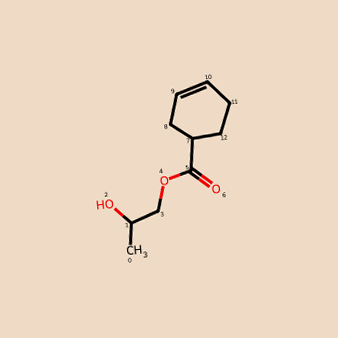 CC(O)COC(=O)C1CC=CCC1